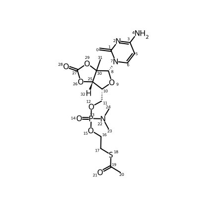 C=C1N=C(N)C=CN1[C@@H]1O[C@H](COP(=O)(OCCSC(C)=O)N(C)C)[C@@H]2OC(=O)OC21C